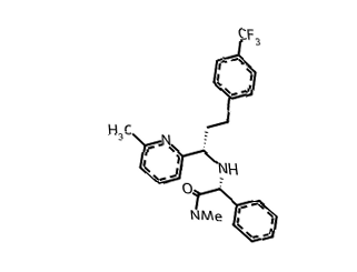 CNC(=O)[C@H](N[C@@H](CCc1ccc(C(F)(F)F)cc1)c1cccc(C)n1)c1ccccc1